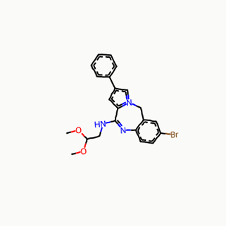 COC(CNC1=Nc2ccc(Br)cc2Cn2cc(-c3ccccc3)cc21)OC